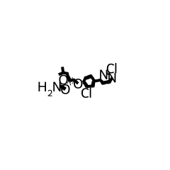 CC(C)C[C@@](C)(COc1ccc(-c2ccnc(Cl)n2)cc1Cl)OC(N)=O